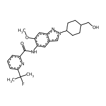 COc1cc2nn(C3CCC(CO)CC3)cc2cc1NC(=O)c1cccc(C(C)(C)F)n1